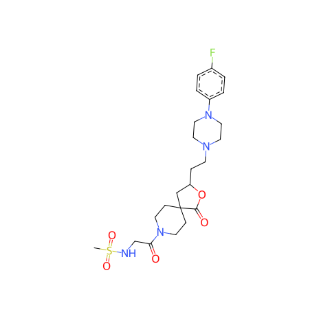 CS(=O)(=O)NCC(=O)N1CCC2(CC1)CC(CCN1CCN(c3ccc(F)cc3)CC1)OC2=O